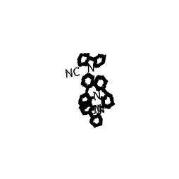 N#Cc1cccc(-c2ccc(-n3c4ccccc4c4cccc(C#N)c43)cc2)c1-n1c2ccccc2c2cccc(-n3c4ccccc4c4ccccc43)c21